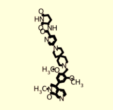 COc1cc(-c2cn(C)c(=O)c3cnccc23)cc(OC)c1CN1CCC2(CC1)CCN(c1ccc(C(=O)NC3CCC(=O)NC3=O)nc1)CC2